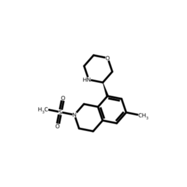 Cc1cc2c(c([C@@H]3COCCN3)c1)CN(S(C)(=O)=O)CC2